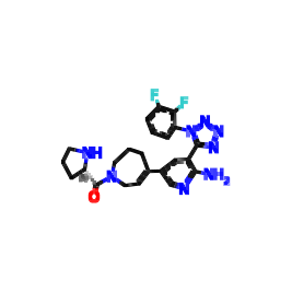 Nc1ncc(C2=CCN(C(=O)[C@@H]3CCCN3)CCC2)cc1-c1nnnn1-c1cccc(F)c1F